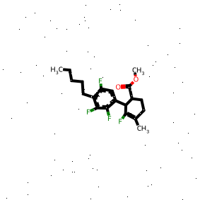 CCCCCc1c(F)cc(C2C(F)=C(C)CCC2C(=O)OC)c(F)c1F